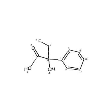 O=C(O)C(O)(CF)c1ccccc1